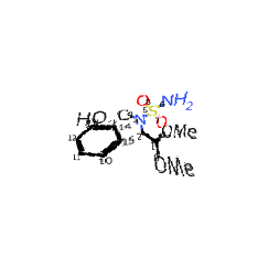 COC(CN(C(=O)O)S(N)(=O)=O)OC.c1ccccc1